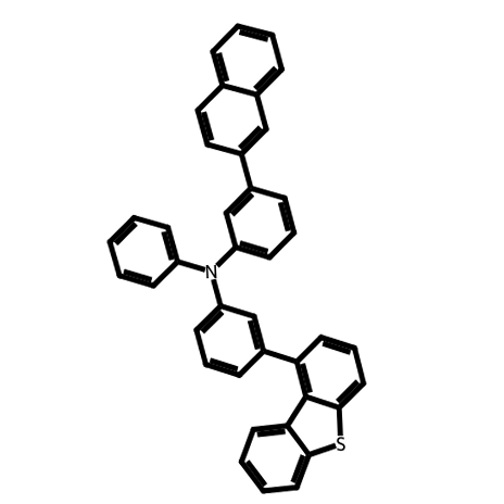 c1ccc(N(c2cccc(-c3ccc4ccccc4c3)c2)c2cccc(-c3cccc4sc5ccccc5c34)c2)cc1